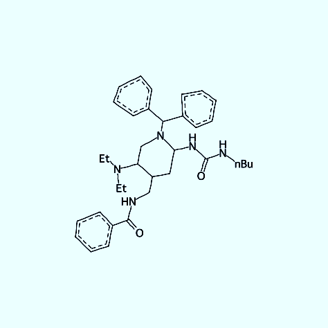 CCCCNC(=O)NC1CC(CNC(=O)c2ccccc2)C(N(CC)CC)CN1C(c1ccccc1)c1ccccc1